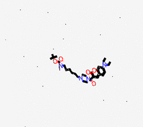 CCN(CC)c1ccc2cc(C(=O)N3CCN(CCCCCCN(I)C(=O)OC(C)(C)C)CC3)c(=O)oc2c1